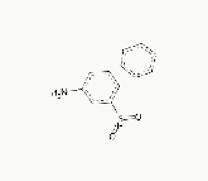 Nc1cccc([SH](=O)=O)c1.c1ccccc1